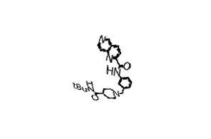 CC(C)(C)NC(=O)C1CCN(Cc2cccc(NC(=O)c3ccc4cnccc4n3)c2)CC1